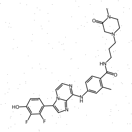 Cc1cc(Nc2nccn3c(-c4ccc(O)c(F)c4F)cnc23)ccc1C(=O)NCCCN1CCN(C)C(=O)C1